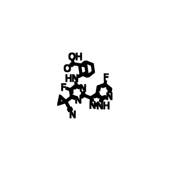 N#CC1(c2nc(-c3n[nH]c4ncc(F)cc34)nc(NC3C4CCC(CC4)C3C(=O)O)c2F)CC1